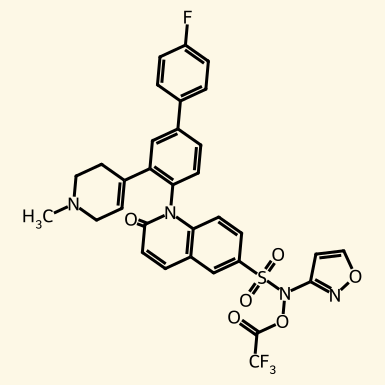 CN1CC=C(c2cc(-c3ccc(F)cc3)ccc2-n2c(=O)ccc3cc(S(=O)(=O)N(OC(=O)C(F)(F)F)c4ccon4)ccc32)CC1